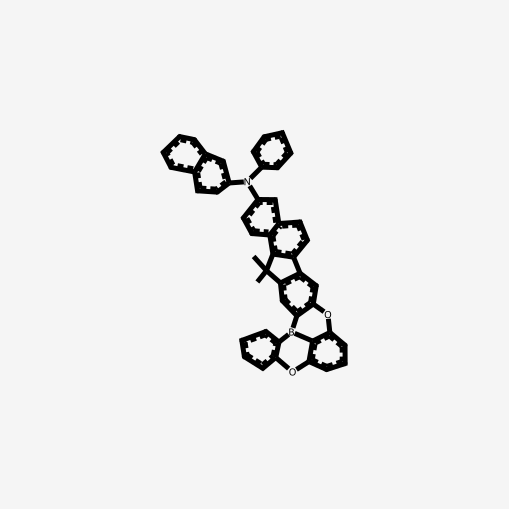 CC1(C)c2cc3c(cc2-c2ccc4cc(N(c5ccccc5)c5ccc6ccccc6c5)ccc4c21)Oc1cccc2c1B3c1ccccc1O2